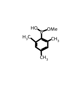 COB(O)c1c(C)cc(C)cc1C